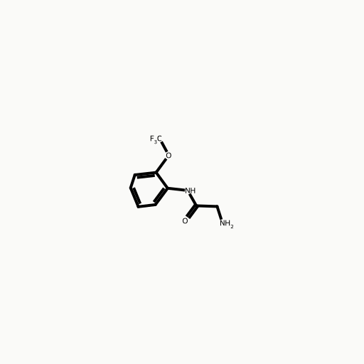 NCC(=O)Nc1ccccc1OC(F)(F)F